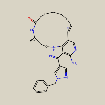 C[C@@H]1CCNc2c(cnc(N)c2C(=N)c2cnn(Cc3ccccc3)c2)/C=C/CCCCCC(=O)N1